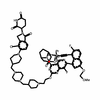 COCOc1cc(-c2ncc3c(N4CC5CCC(C4)N5C(=O)OC(C)(C)C)nc(OCCN4CCC(CN5CCN(CC6CCN(c7ccc8c(c7Cl)CN(C7CCC(=O)NC7=O)C8=O)CC6)CC5)CC4)nc3c2F)c2c(C#C[Si](C(C)C)(C(C)C)C(C)C)c(F)ccc2c1